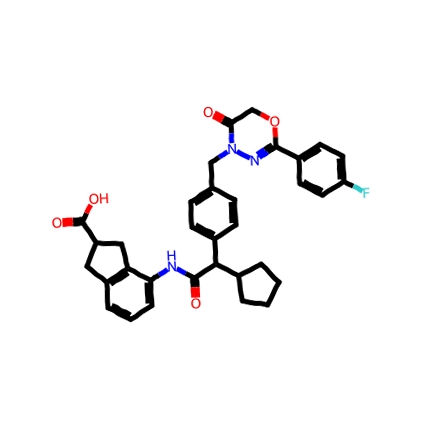 O=C(O)C1Cc2cccc(NC(=O)C(c3ccc(CN4N=C(c5ccc(F)cc5)OCC4=O)cc3)C3CCCC3)c2C1